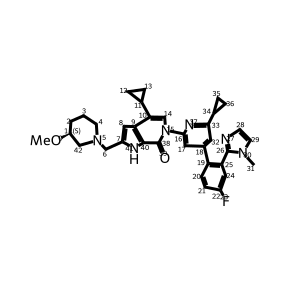 CO[C@H]1CCCN(Cc2cc3c(C4CC4)cn(-c4cc(-c5ccc(F)cc5-c5nccn5C)cc(C5CC5)n4)c(=O)c3[nH]2)C1